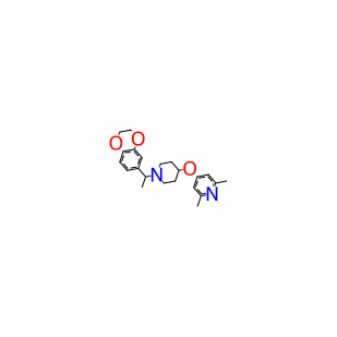 Cc1cc(OC2CCN(C(C)c3ccc4c(c3)OCCO4)CC2)cc(C)n1